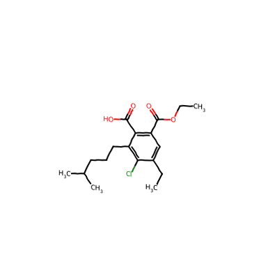 CCOC(=O)c1cc(CC)c(Cl)c(CCCC(C)C)c1C(=O)O